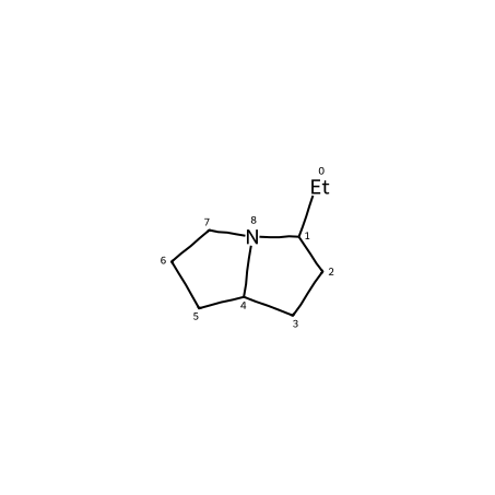 CCC1CCC2CCCN12